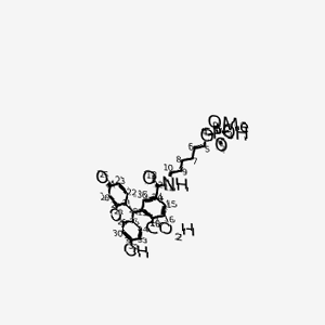 COP(=O)(O)OCCCCCCNC(=O)c1ccc(C(=O)O)c(C2C3C=CC(=O)C=C3OC3C=C(O)C=CC32)c1